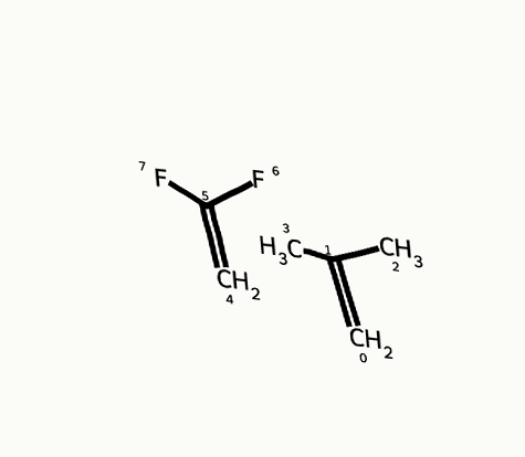 C=C(C)C.C=C(F)F